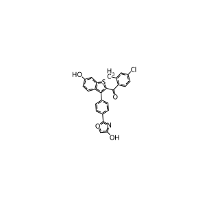 Cc1cc(Cl)ccc1C(=O)c1sc2cc(O)ccc2c1-c1ccc(-c2nc(O)co2)cc1